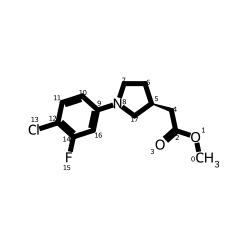 COC(=O)C[C@@H]1CCN(c2ccc(Cl)c(F)c2)C1